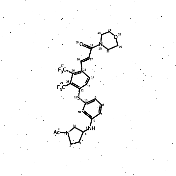 CC(=O)N1CCC(Nc2cccc(Sc3ccc(C=CC(=O)N4CCOCC4)c(C(F)(F)F)c3C(F)(F)F)c2)C1